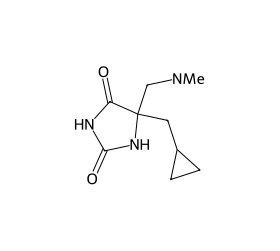 CNCC1(CC2CC2)NC(=O)NC1=O